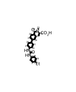 CCc1ccc(NC(=O)Nc2ccc(-c3ccc(C(=O)N(C)[C@@H](C)C(=O)O)cc3)cc2)cc1